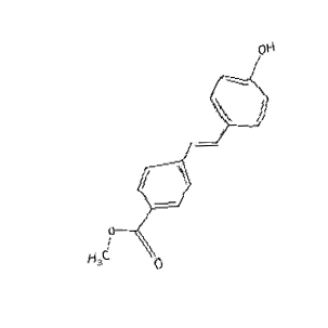 COC(=O)c1ccc(C=Cc2ccc(O)cc2)cc1